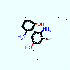 CCc1cc(O)ccc1N.Nc1cccc(O)c1